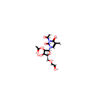 CC(=O)OC1C(O)[C@H](COCC=O)O[C@@H]1n1cc(C)c(=O)n(C(C)=O)c1=O